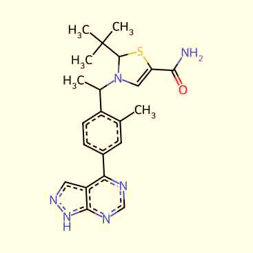 Cc1cc(-c2ncnc3[nH]ncc23)ccc1C(C)N1C=C(C(N)=O)SC1C(C)(C)C